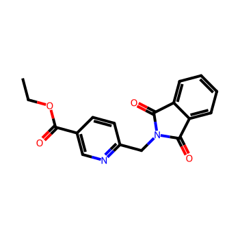 CCOC(=O)c1ccc(CN2C(=O)c3ccccc3C2=O)nc1